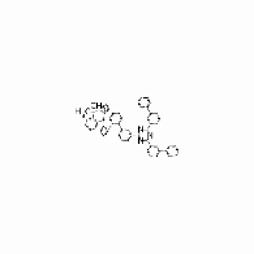 CC1(C)c2ccccc2C2(c3ccccc3-c3c(-c4cccc(-c5nc(-c6cccc(-c7ccccc7)c6)nc(-c6cccc(-c7ccccc7)c6)n5)c4)cccc32)c2ccccc21